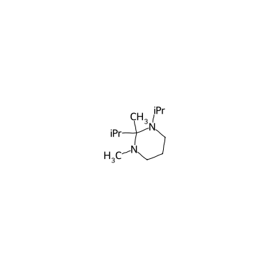 CC(C)N1CCCN(C)C1(C)C(C)C